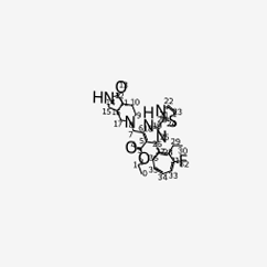 CCOC(=O)C1=C(CN2CCC3C(=O)NCC3C2)NC(c2nccs2)=N[C@H]1C1=C(CC)C(F)=CC=CC1